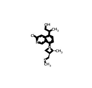 CSC[C@H]1CN(c2ccc(C(C)CO)c3cc(Cl)ncc23)[C@@H]1C